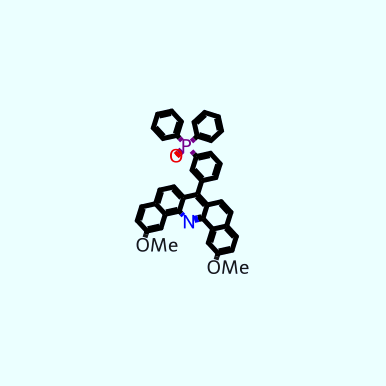 COc1ccc2ccc3c(-c4cccc(P(=O)(c5ccccc5)c5ccccc5)c4)c4ccc5ccc(OC)cc5c4nc3c2c1